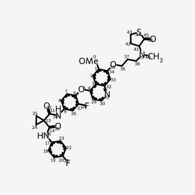 COc1cc2c(Oc3ccc(NC(=O)C4(C(=O)Nc5ccc(F)cc5)CC4)cc3F)ccnc2cc1OCCCN(C)C1CCSC1=O